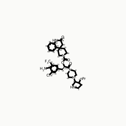 CCCC1CCNCC1N1CCN(C(=O)[C@@H](Cc2cc(Cl)c(N)c(C(F)(F)F)c2)OC(=O)N2CCC3(CC2)CC(=O)Nc2ccccc23)CC1